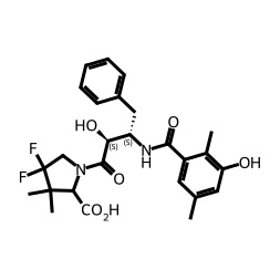 Cc1cc(O)c(C)c(C(=O)N[C@@H](Cc2ccccc2)[C@H](O)C(=O)N2CC(F)(F)C(C)(C)C2C(=O)O)c1